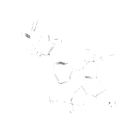 COc1cc2c(c3c1OC(C)(C)C3)C(c1cccc(C(=O)NC(C)(C)C(N)=O)c1)=NC(C)(C)C2